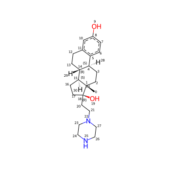 C[C@]12CC[C@@H]3c4ccc(O)cc4CC[C@H]3[C@@H]1CC[C@@]2(O)CCN1CCNCC1